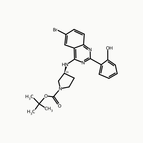 CC(C)(C)OC(=O)N1CC[C@H](Nc2nc(-c3ccccc3O)nc3ccc(Br)cc23)C1